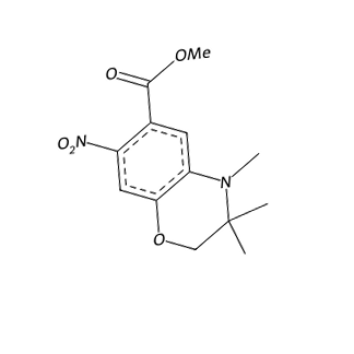 COC(=O)c1cc2c(cc1[N+](=O)[O-])OCC(C)(C)N2C